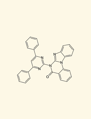 O=c1c2ccccc2n2c3ccccc3nc2n1-c1nc(-c2ccccc2)cc(-c2ccccc2)n1